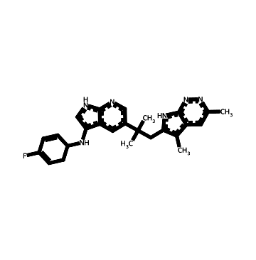 Cc1cc2c(C)c(CC(C)(C)c3cnc4[nH]cc(NC5C=CC(F)=CC5)c4c3)[nH]c2nn1